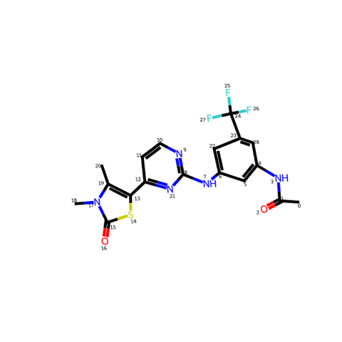 CC(=O)Nc1cc(Nc2nccc(-c3sc(=O)n(C)c3C)n2)cc(C(F)(F)F)c1